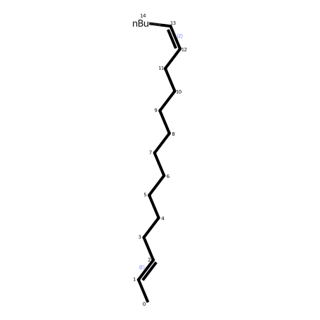 C/C=C/CCCCCCCCC/C=C\CCCC